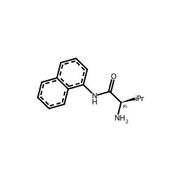 CC(C)[C@@H](N)C(=O)Nc1cccc2ccccc12